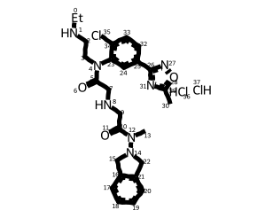 CCNCCN(C(=O)CNCC(=O)N(C)N1Cc2ccccc2C1)c1cc(-c2noc(C)n2)ccc1Cl.Cl.Cl